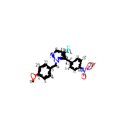 COc1ccc(Cn2ncc(F)c2-c2ccc([N+](=O)[O-])cc2)cc1